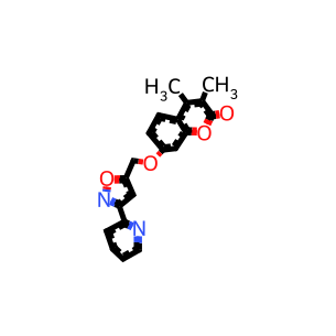 Cc1c(C)c2ccc(OCc3cc(-c4ccccn4)no3)cc2oc1=O